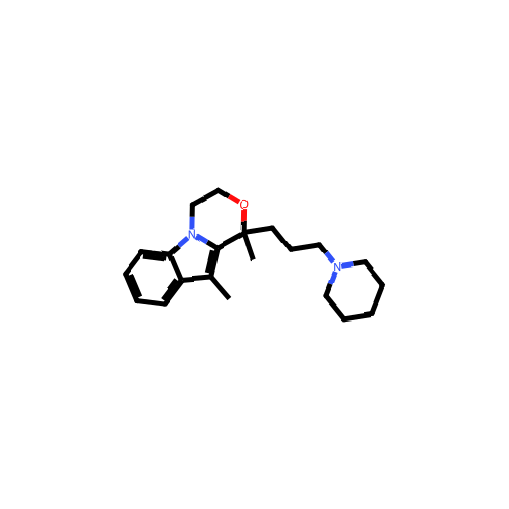 Cc1c2n(c3ccccc13)CCOC2(C)CCCN1CCCCC1